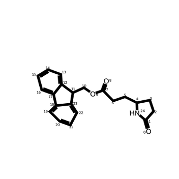 O=C1CCC(CCC(=O)OCC2c3ccccc3-c3ccccc32)N1